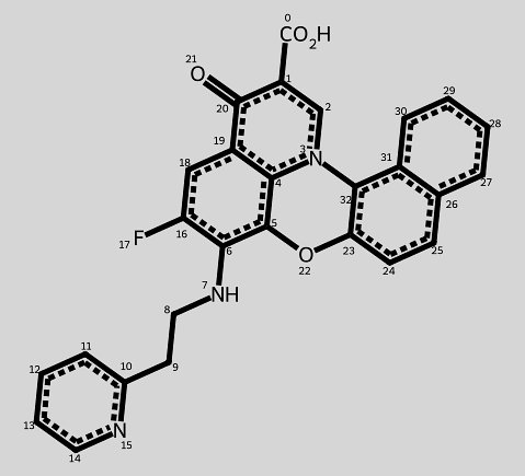 O=C(O)c1cn2c3c(c(NCCc4ccccn4)c(F)cc3c1=O)Oc1ccc3ccccc3c1-2